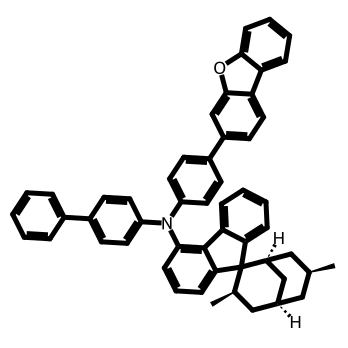 C[C@H]1C[C@@H]2C[C@H](C1)C1(c3ccccc3-c3c(N(c4ccc(-c5ccccc5)cc4)c4ccc(-c5ccc6c(c5)oc5ccccc56)cc4)cccc31)[C@H](C)C2